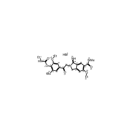 Br.CCNC(=O)Oc1c(OCC)cc(C(=O)CN2Cc3cc(OCC)c(C(=O)NC)cc3C2=N)cc1C(C)(C)C